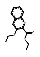 CCOC(=O)c1nc2ccccc2cc1SCC